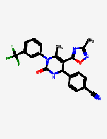 CC1=C(c2nc(C)no2)C(c2ccc(C#N)cc2)NC(=O)N1c1cccc(C(F)(F)F)c1